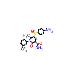 Cc1c([S+]([O-])c2ccc(N)cc2)cc(C(N)=O)c(=O)n1-c1cccc(C(F)(F)F)c1